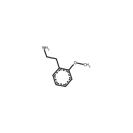 COc1ccccc1[CH]CN